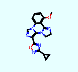 COc1cccc2c1C1=NCCN1c1c(-c3nc(C4CC4)no3)ncn1-2